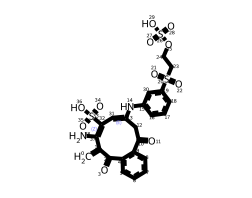 C=C1C(=O)c2ccccc2C(=O)C/C(Nc2cccc(S(=O)(=O)CCOS(=O)(=O)O)c2)=C\C(S(=O)(=O)O)=C/1N